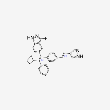 Fc1n[nH]c2ccc(/C(=C(/c3ccccc3)C3CCC3)c3ccc(/C=C/c4cn[nH]c4)cc3)cc12